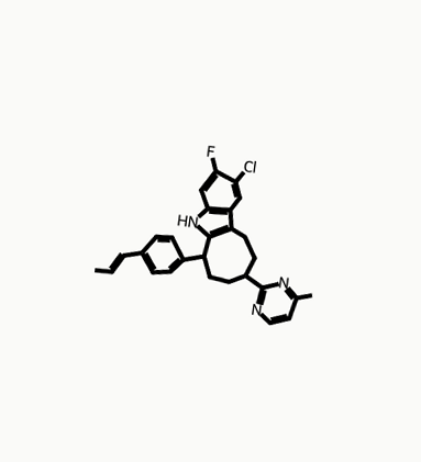 C/C=C/c1ccc(C2CCC(c3nccc(C)n3)CCc3c2[nH]c2cc(F)c(Cl)cc32)cc1